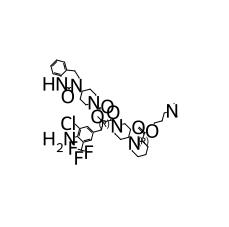 CN(C)CCCOC(=O)[C@H]1CCCCN1C1CCN(C(=O)[C@@H](Cc2cc(Cl)c(N)c(C(F)(F)F)c2)OC(=O)N2CCC(N3CCc4ccccc4NC3=O)CC2)CC1